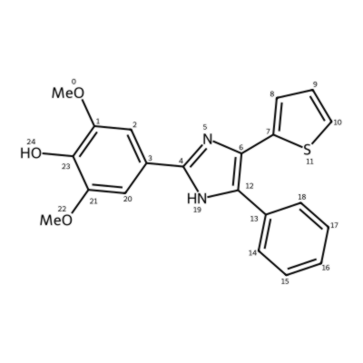 COc1cc(-c2nc(-c3cccs3)c(-c3ccccc3)[nH]2)cc(OC)c1O